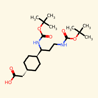 CC(C)(C)OC(=O)NCCC(NC(=O)OC(C)(C)C)[C@H]1CC[C@H](CC(=O)O)CC1